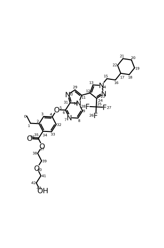 CCc1cc(Oc2nccn3c(-c4cn(CCC5CCCCC5)nc4C(F)(F)F)cnc23)ccc1C(=O)OCCOCCO